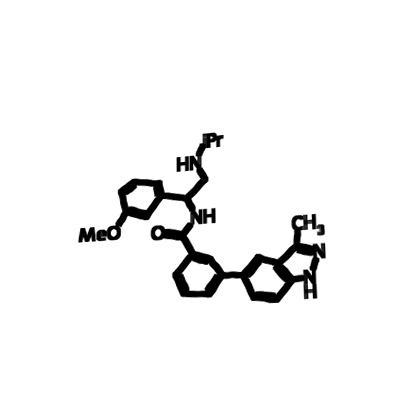 COc1cccc(C(CNC(C)C)NC(=O)c2cccc(-c3ccc4[nH]nc(C)c4c3)c2)c1